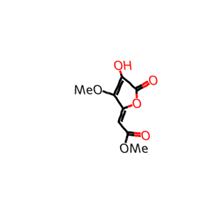 COC(=O)/C=C1\OC(=O)C(O)=C1OC